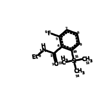 CCNC(=O)c1c(F)cccc1[Si](C)(C)C